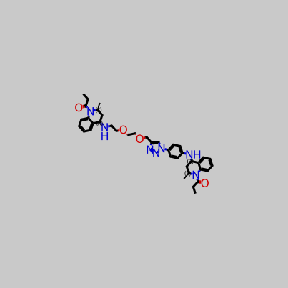 CCC(=O)N1c2ccccc2[C@H](NCCOCCOCc2cn(-c3ccc(N[C@@H]4C[C@H](C)N(C(=O)CC)c5ccccc54)cc3)nn2)C[C@@H]1C